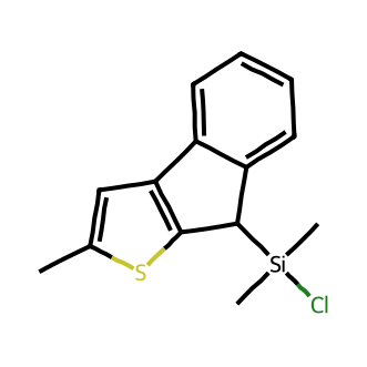 Cc1cc2c(s1)C([Si](C)(C)Cl)c1ccccc1-2